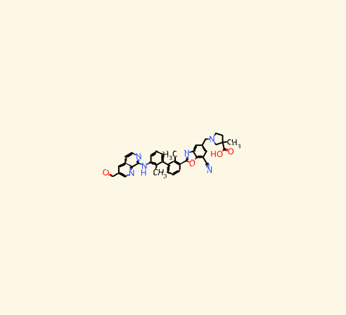 Cc1c(Nc2nccc3cc(C=O)cnc23)cccc1-c1cccc(-c2nc3cc(CN4CCC(C)(C(=O)O)C4)cc(C#N)c3o2)c1C